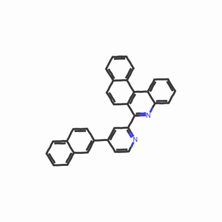 c1ccc2cc(-c3ccnc(-c4nc5ccccc5c5c4ccc4ccccc45)c3)ccc2c1